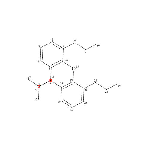 CCCc1cccc(CCC)c1Oc1c(CCC)cccc1CCC